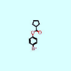 O=C(Oc1ccc(Br)cc1)C1CCCC1